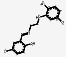 Oc1ccc(Cl)cc1/C=N/CCNc1cc(Cl)ccc1O